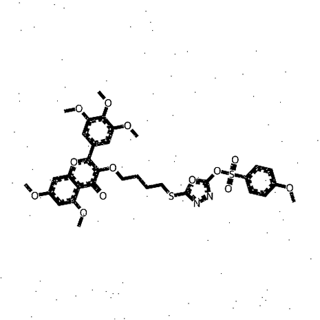 COc1ccc(S(=O)(=O)Oc2nnc(SCCCCOc3c(-c4cc(OC)c(OC)c(OC)c4)oc4cc(OC)cc(OC)c4c3=O)o2)cc1